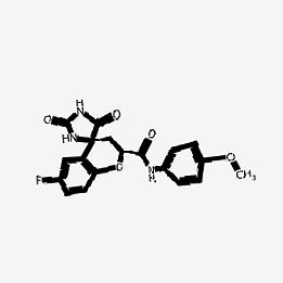 COc1ccc(NC(=O)[C@@H]2C[C@]3(NC(=O)NC3=O)c3cc(F)ccc3O2)cc1